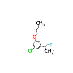 [CH2]C(CF)c1cc(Cl)cc(OCCCC)c1